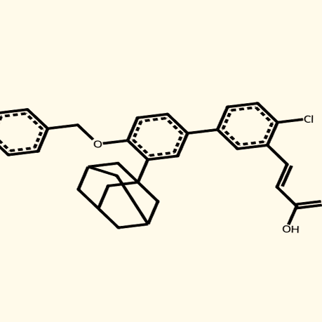 O=C(O)C=Cc1cc(-c2ccc(OCc3ccccc3)c(C34CC5CC(CC(C5)C3)C4)c2)ccc1Cl